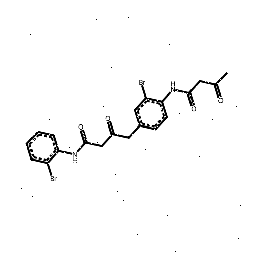 CC(=O)CC(=O)Nc1ccc(CC(=O)CC(=O)Nc2ccccc2Br)cc1Br